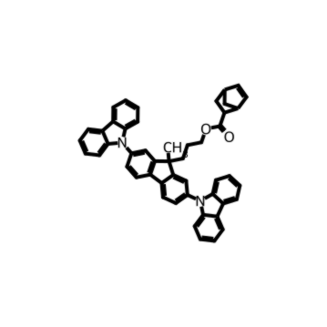 CC1(CCCOC(=O)C2CC3C=CC2C3)c2cc(-n3c4ccccc4c4ccccc43)ccc2-c2ccc(-n3c4ccccc4c4ccccc43)cc21